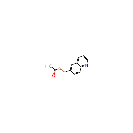 CC(=O)SCc1ccc2ncccc2c1